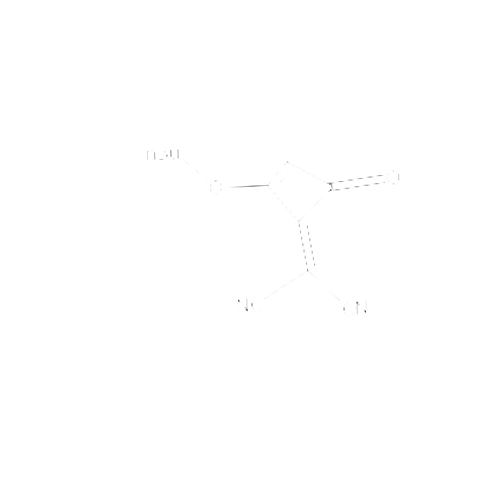 CCCCOC1=CC(=O)C1=C(C#N)C#N